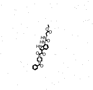 CCOC(=O)CCNC(=O)Nc1cccc2c(C(=O)C(=O)N3CCN(C(=O)c4ccccc4)CC3)c[nH]c12